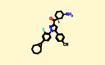 C[C@]1(C(=O)c2cc(-c3ccc(C#N)cc3)n(-c3ccc(C4C5CCCCCC54)cc3F)n2)CCC[C@@H](N)C1